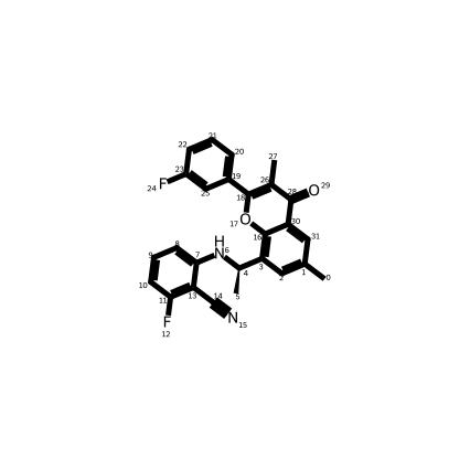 Cc1cc([C@@H](C)Nc2cccc(F)c2C#N)c2oc(-c3cccc(F)c3)c(C)c(=O)c2c1